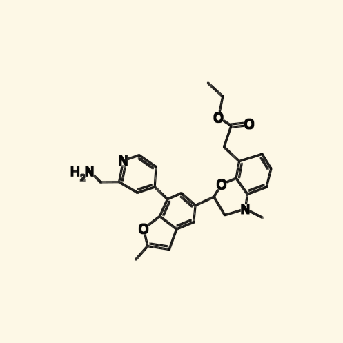 CCOC(=O)Cc1cccc2c1OC(c1cc(-c3ccnc(CN)c3)c3oc(C)cc3c1)CN2C